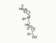 CCC(CO)C1COC(OC(=O)NCCCN(CC(C)C)Sc2ccc3nc(NC4CC4)sc3c2)C1